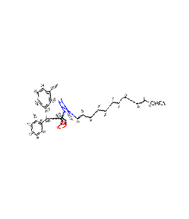 O=CCCCCCCCCCCNC(=O)C(c1ccccc1)c1ccccc1